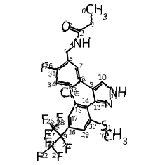 CCC(=O)NCc1cc(-c2c[nH]nc2-c2c(Cl)cc(C(F)(C(F)(F)F)C(F)(F)F)cc2SC)ccc1F